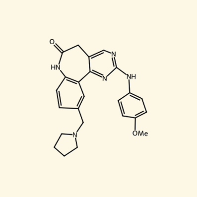 COc1ccc(Nc2ncc3c(n2)-c2cc(CN4CCCC4)ccc2NC(=O)C3)cc1